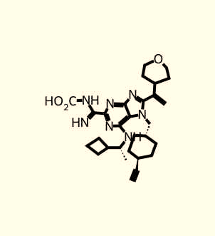 C#C[C@H]1CC[C@H](Cn2c(C(=C)C3CCOCC3)nc3nc(C(=N)NC(=O)O)nc(N[C@H](C)C4CCC4)c32)CC1